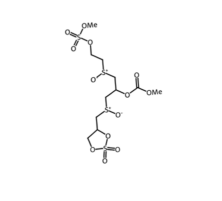 COC(=O)OC(C[S+]([O-])CCOS(=O)(=O)OC)C[S+]([O-])CC1COS(=O)(=O)O1